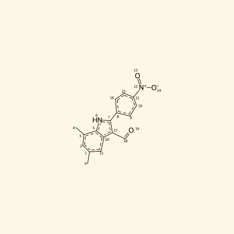 Cc1cc(C)c2[nH]c(-c3ccc([N+](=O)[O-])cc3)c(C=O)c2c1